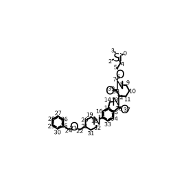 C[Si](C)(C)CCOCN1CCCC(N2Cc3cc(N4CCC(COCc5ccccc5)CC4)ccc3C2=O)C1=O